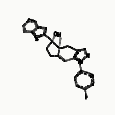 C[C@]12Cc3cnn(-c4ccc(F)cc4)c3C=C1CC[C@@]2(O)c1cc2ccccc2s1